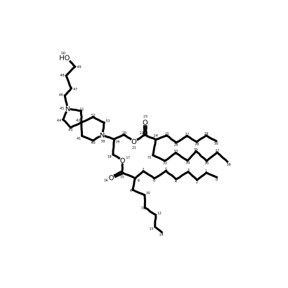 CCCCCCCCC(CCCCCC)C(=O)OCC(COC(=O)C(CCCCCC)CCCCCCCC)N1CCC2(CCN(CCCCO)C2)CC1